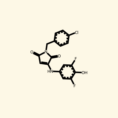 O=C1C=C(Nc2cc(F)c(O)c(F)c2)C(=O)N1Cc1ccc(Cl)cc1